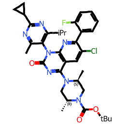 Cc1nc(C2CC2)nc(C(C)C)c1-n1c(=O)nc(N2C[C@@H](C)N(C(=O)OC(C)(C)C)C[C@@H]2C)c2cc(Cl)c(-c3ccccc3F)nc21